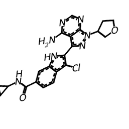 Nc1ncnc2c1c(-c1[nH]c3cc(C(=O)NC4CC4)ccc3c1Cl)nn2C1CCOC1